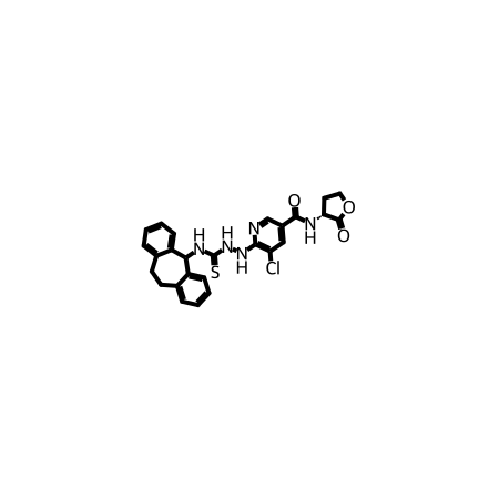 O=C(N[C@@H]1CCOC1=O)c1cnc(NNC(=S)NC2c3ccccc3CCc3ccccc32)c(Cl)c1